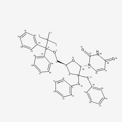 CC(C)(C)[Si](OC[C@@H]1CC(Sc2ccccc2)(Sc2ccccc2)[C@@H](n2ccc(=O)[nH]c2=O)O1)(c1ccccc1)c1ccccc1